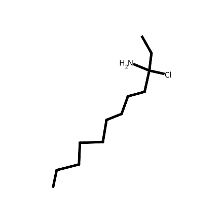 CCCCCCCCCC(N)(Cl)CC